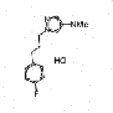 CNc1cnn(CCCc2ccc(F)cc2)c1.Cl